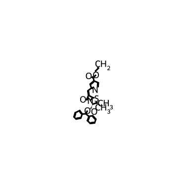 C=CCOC(=O)c1ccnc(/C=C2/C(=O)N3C2SC(C)(C)[C@@H]3C(=O)OC(c2ccccc2)c2ccccc2)c1